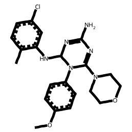 COc1ccc(N2C(N3CCOCC3)=NC(N)=NC2Nc2cc(Cl)ccc2C)cc1